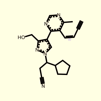 C#C/C=C\c1c(C)ncnc1-c1cn(C(CC#N)C2CCCC2)nc1CO